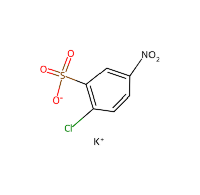 O=[N+]([O-])c1ccc(Cl)c(S(=O)(=O)[O-])c1.[K+]